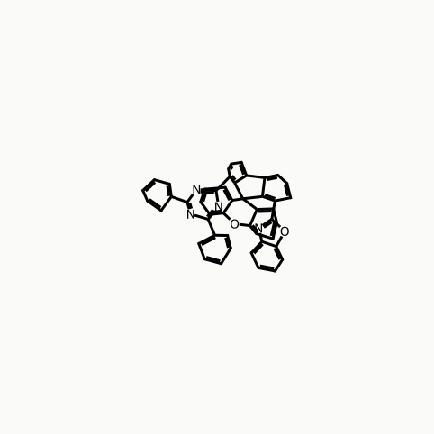 c1ccc(-c2nc(-c3ccccc3)nc(-c3cccc4c3C3(c5ccccc5Oc5ccccc53)c3c(-c5nc6ccccc6o5)cccc3-4)n2)cc1